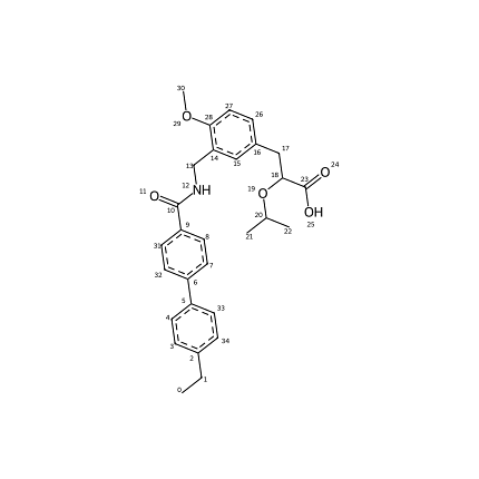 CCc1ccc(-c2ccc(C(=O)NCc3cc(CC(OC(C)C)C(=O)O)ccc3OC)cc2)cc1